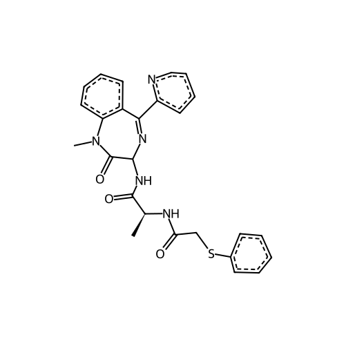 C[C@H](NC(=O)CSc1ccccc1)C(=O)NC1N=C(c2ccccn2)c2ccccc2N(C)C1=O